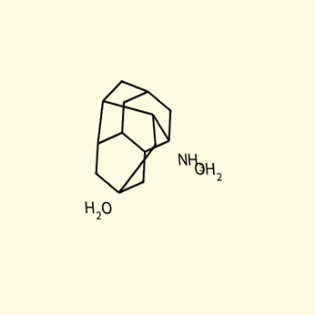 C1C2CC3C4CC5CC(C14)C(C2)C3C5.N.O.O